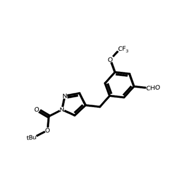 CC(C)(C)OC(=O)n1cc(Cc2cc(C=O)cc(OC(F)(F)F)c2)cn1